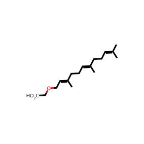 CC(C)=CCC/C(C)=C/CC/C(C)=C/COCC(=O)O